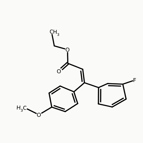 CCOC(=O)/C=C(\c1ccc(OC)cc1)c1cccc(F)c1